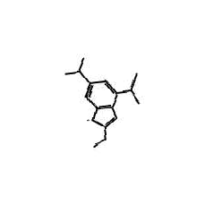 CCC1=Cc2c(cc(C(C)C)cc2C(C)C)[CH]1